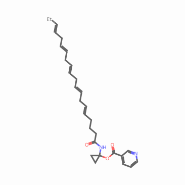 CCC=CCC=CCC=CCC=CCC=CCCCC(=O)NC1(OC(=O)c2cccnc2)CC1